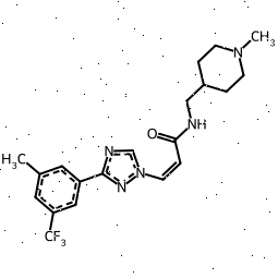 Cc1cc(-c2ncn(/C=C\C(=O)NCC3CCN(C)CC3)n2)cc(C(F)(F)F)c1